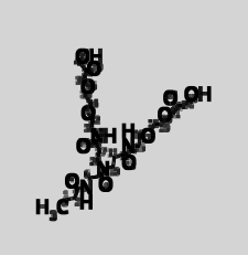 CCCC(=O)NCC(=O)N(CCC(=O)NCCOCCOCC(=O)CO)CCC(=O)NCCOCCOCC(=O)CO